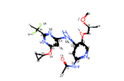 CO[C@@H](C)COc1cnc(NC(C)=O)cc1Nc1cc(OC2CC2)nc(C(C)(F)F)n1